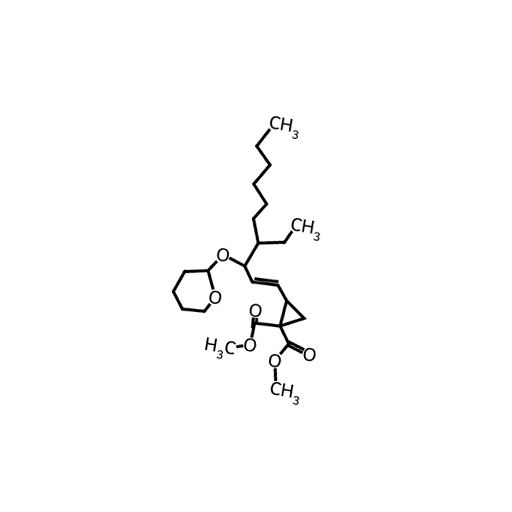 CCCCCCC(CC)C(/C=C/C1CC1(C(=O)OC)C(=O)OC)OC1CCCCO1